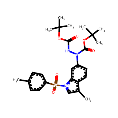 Cc1ccc(S(=O)(=O)n2cc(C)c3ccc(N(NC(=O)OC(C)(C)C)C(=O)OC(C)(C)C)cc32)cc1